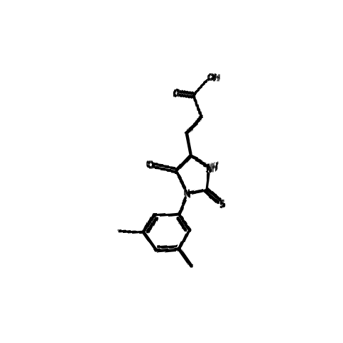 Cc1cc(C)cc(N2C(=O)C(CCC(=O)O)NC2=S)c1